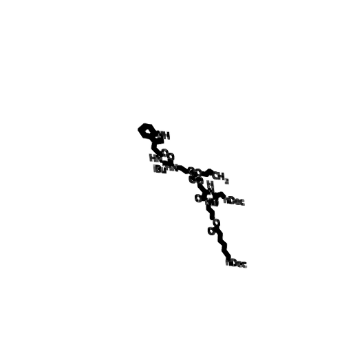 C=CCOP(=O)(OCCNC(=O)[C@@H](NC(=O)Cc1c[nH]c2ccccc12)[C@@H](C)CC)OCC(NC(=O)CCCCCCCCCCC)C(=O)NCCCOC(=O)CCCCCCCCCCCCCCC